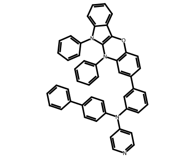 c1ccc(-c2ccc(N(c3ccncc3)c3cccc(-c4ccc5c(c4)N(c4ccccc4)c4c(c6ccccc6n4-c4ccccc4)O5)c3)cc2)cc1